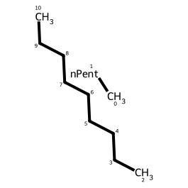 CCCCCC.CCCCCCCCC